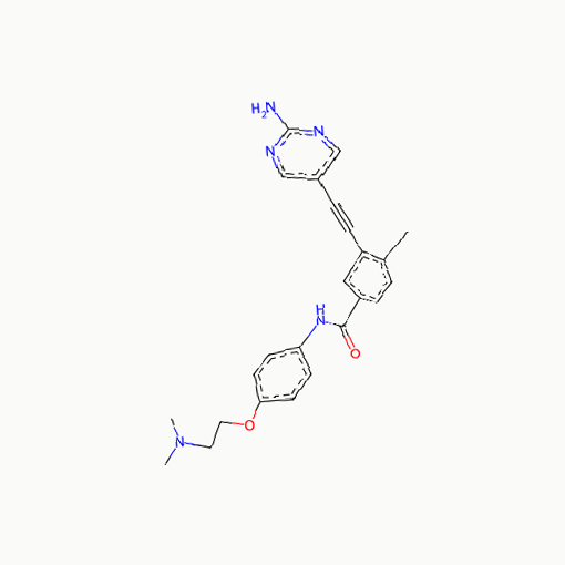 Cc1ccc(C(=O)Nc2ccc(OCCN(C)C)cc2)cc1C#Cc1cnc(N)nc1